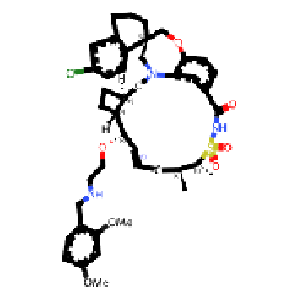 COc1ccc(CNCCO[C@H]2/C=C/C[C@H](C)[C@@H](C)S(=O)(=O)NC(=O)c3ccc4c(c3)N(C[C@@H]3CC[C@H]32)C[C@@]2(CCCc3cc(Cl)ccc32)CO4)c(OC)c1